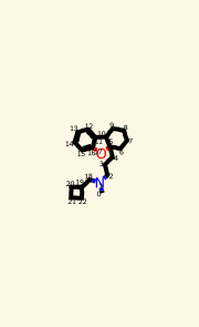 CN(CCCC12CCCCC1c1ccccc1O2)CC1CCC1